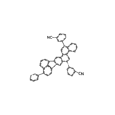 N#Cc1cccc(-c2cc3c4cc5c(cc4c(-c4cccc(C#N)c4)cc3c3ccccc23)-c2ccc(-c3ccccc3)c3cccc-5c23)c1